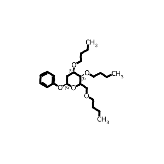 CCCCOCC1O[C@@H](Oc2ccccc2)C[C@@H](OCCCC)[C@@H]1OCCCC